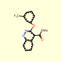 COC(=O)c1c(Oc2cccc(C(F)(F)F)c2)nnc2ccccc12